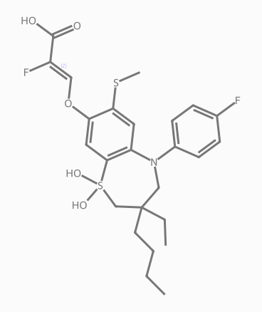 CCCCC1(CC)CN(c2ccc(F)cc2)c2cc(SC)c(O/C=C(\F)C(=O)O)cc2S(O)(O)C1